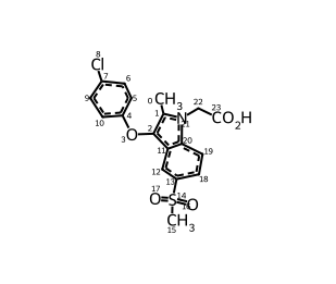 Cc1c(Oc2ccc(Cl)cc2)c2cc(S(C)(=O)=O)ccc2n1CC(=O)O